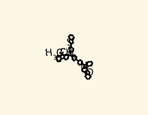 CC1(C)c2ccccc2-c2ccc(N(c3ccc(-c4ccc(-n5c6c(c7c8c(ccc75)C5C=CCCC5O8)C=CCC6)cc4)cc3)c3ccc(-c4cc5ccccc5s4)cc3)cc21